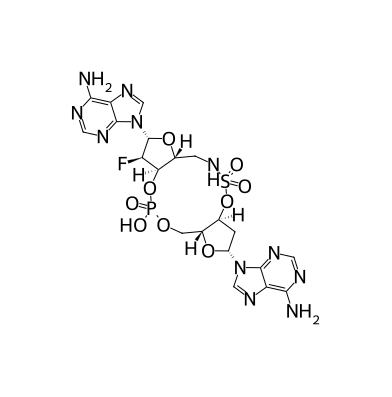 Nc1ncnc2c1ncn2[C@@H]1O[C@@H]2CNS(=O)(=O)O[C@H]3C[C@H](n4cnc5c(N)ncnc54)O[C@@H]3COP(=O)(O)O[C@H]2[C@H]1F